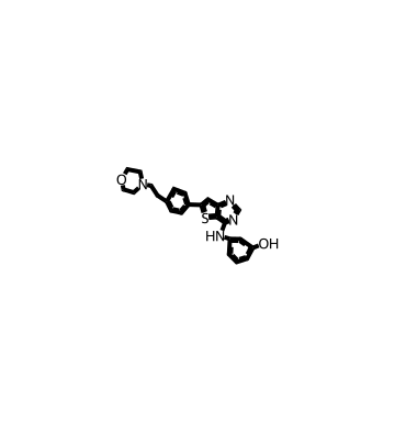 Oc1cccc(Nc2ncnc3cc(-c4ccc(CCN5CCOCC5)cc4)sc23)c1